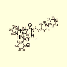 Cc1c(C(=O)NCCC2CCN(c3ccncc3)CC2)nn(-c2ncccn2)c1NC(=O)c1ccccc1Cl